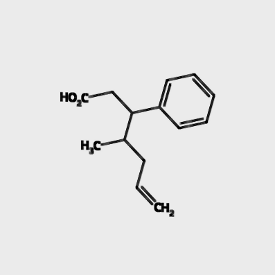 C=CCC(C)C(CC(=O)O)c1ccccc1